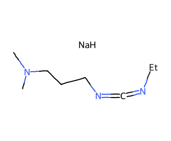 CCN=C=NCCCN(C)C.[NaH]